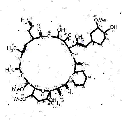 C=CCC1/C=C(/C)CC(C)CC(OC)C2OC(O)(C(=O)C(=O)N3CCCCC3C(=O)OC(/C(C)=C/C3CCC(O)C(OC)C3)C(C)C(O)CC1=O)C(C)CC2OC